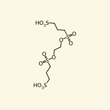 O=S(=O)(O)CCCS(=O)(=O)OCCOS(=O)(=O)CCCS(=O)(=O)O